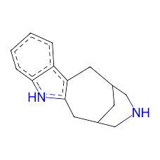 c1ccc2c3c([nH]c2c1)CC1CNCC(C3)C1